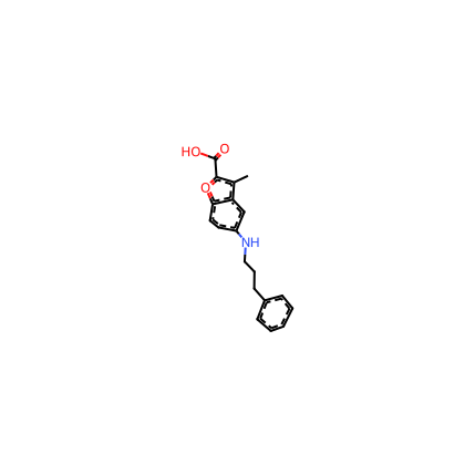 Cc1c(C(=O)O)oc2ccc(NCCCc3ccccc3)cc12